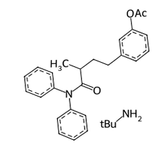 CC(=O)Oc1cccc(CCC(C)C(=O)N(c2ccccc2)c2ccccc2)c1.CC(C)(C)N